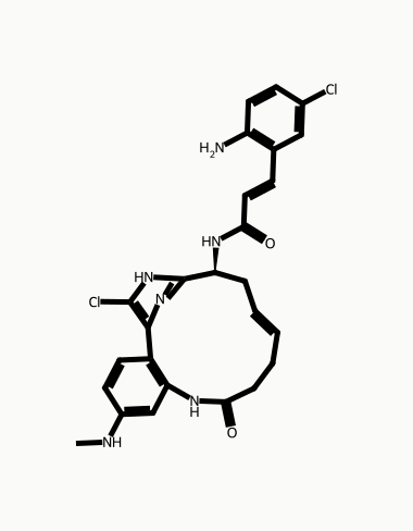 CNc1ccc2c(c1)NC(=O)CC/C=C/C[C@H](NC(=O)/C=C/c1cc(Cl)ccc1N)c1nc-2c(Cl)[nH]1